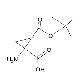 CC(C)(C)OC(=O)C1CC1(N)C(=O)O